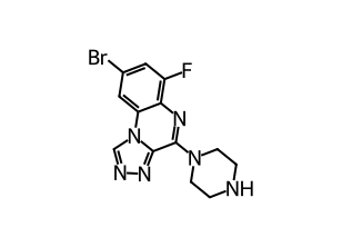 Fc1cc(Br)cc2c1nc(N1CCNCC1)c1nncn12